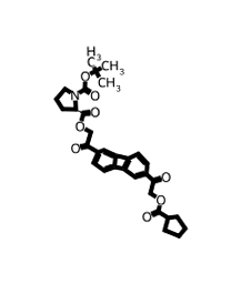 CC(C)(C)OC(=O)N1CCC[C@H]1C(=O)OCC(=O)c1ccc2c(c1)-c1ccc(C(=O)COC(=O)C3CCCC3)cc1-2